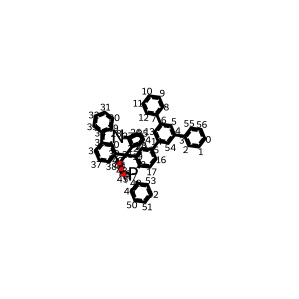 c1ccc(-c2cc(-c3ccccc3)cc(-c3ccc4c(c3)C3(c5ccccc5-n5c6ccccc6c6cccc3c65)c3ccccc3P4c3ccccc3)c2)cc1